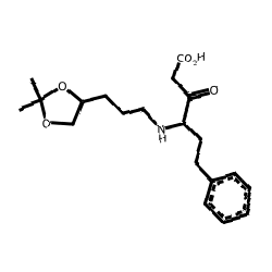 CC1(C)OCC(CCCNC(CCc2ccccc2)C(=O)CC(=O)O)O1